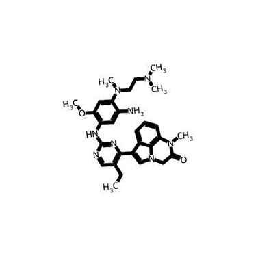 CCc1cnc(Nc2cc(N)c(N(C)CCN(C)C)cc2OC)nc1-c1cn2c3c(cccc13)N(C)C(=O)C2